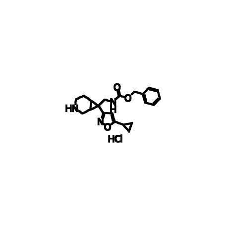 Cl.O=C(NCC1(c2cc(C3CC3)on2)C2CCNCC21)OCc1ccccc1